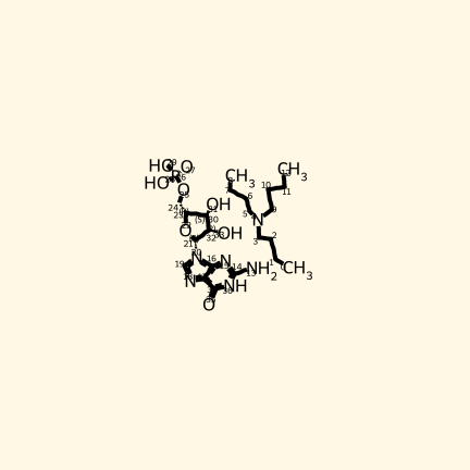 CCCCN(CCCC)CCCC.Nc1nc2c(ncn2[C@@H]2O[C@H](COP(=O)(O)O)[C@@H](O)[C@H]2O)c(=O)[nH]1